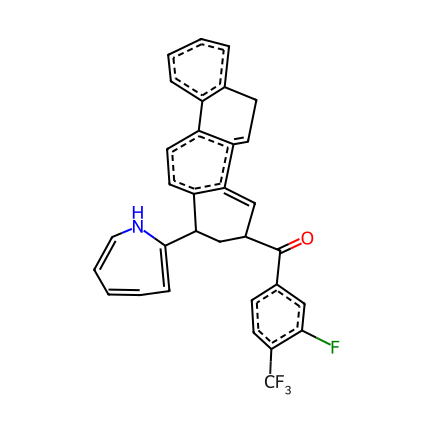 O=C(c1ccc(C(F)(F)F)c(F)c1)C1C=c2c(ccc3c2=CCc2ccccc2-3)C(C2=CC=CC=CN2)C1